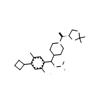 COc1cc(C2CCC2)c(Cl)cc1C(N[S@@+]([O-])C(C)(C)C)C1CCN(C(=O)[C@H]2COC(C)(C)O2)CC1